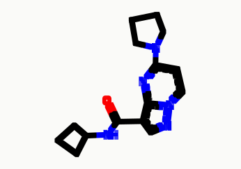 O=C(NC1CCC1)c1cnn2ccc(N3CCCC3)nc12